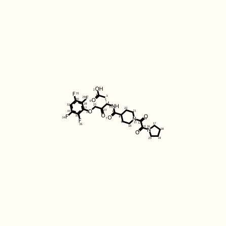 O=C(O)C[C@H](NC(=O)C1CCN(C(=O)C(=O)N2CCCC2)CC1)C(=O)COc1c(F)c(F)cc(F)c1F